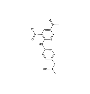 CC(=O)c1cnc(Nc2ccc(CC(C)O)cc2)c([N+](=O)[O-])c1